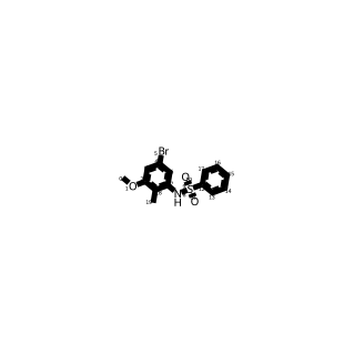 COc1cc(Br)cc(NS(=O)(=O)c2ccccc2)c1C